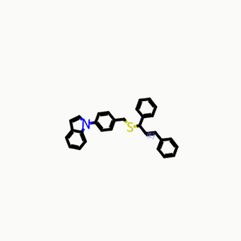 C(=C\C(SCc1ccc(-n2ccc3ccccc32)cc1)c1ccccc1)/c1ccccc1